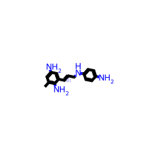 Cc1cc(N)cc(/C=C/CNc2ccc(N)cc2)c1N